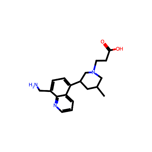 CC1CC(c2ccc(CN)c3ncccc23)CN(CCC(=O)O)C1